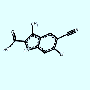 Cc1c(C(=O)O)[nH]c2cc(Cl)c(C#N)cc12